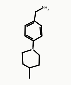 CC1CCN(c2ccc(CN)cc2)CC1